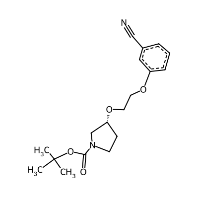 CC(C)(C)OC(=O)N1CC[C@@H](OCCOc2cccc(C#N)c2)C1